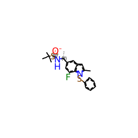 Cc1cc2cc([C@@H](C)N[S@@+]([O-])C(C)(C)C)cc(F)c2n1Sc1ccccc1